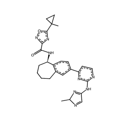 CC1N=CC(Nc2nccc(-c3ccc4c(c3)CCCC[C@H]4NC(=O)c3noc(C4(C)CC4)n3)n2)=N1